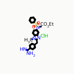 CCOC(=O)CN(c1ccc2c(c1)nc(Cc1ccc(C(=N)N)cc1)n2C)S(=O)(=O)c1ccccc1.Cl